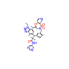 CC[C@@H]1CN(Cc2cc(C(c3ccc4c(nnn4CC)c3C)C(C)(C)C(=O)Nc3cncnc3)ccc2C)S(=O)(=O)c2cnccc2O1